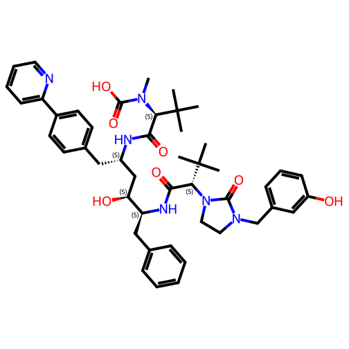 CN(C(=O)O)[C@H](C(=O)N[C@@H](Cc1ccc(-c2ccccn2)cc1)C[C@H](O)[C@H](Cc1ccccc1)NC(=O)[C@@H](N1CCN(Cc2cccc(O)c2)C1=O)C(C)(C)C)C(C)(C)C